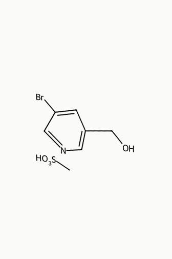 CS(=O)(=O)O.OCc1cncc(Br)c1